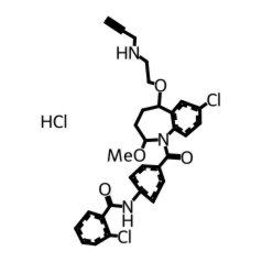 C#CCNCCOC1CCC(OC)N(C(=O)c2ccc(NC(=O)c3ccccc3Cl)cc2)c2ccc(Cl)cc21.Cl